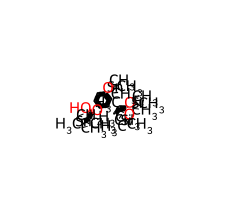 CCC(C)=C(O[Si](C)(C)C)O[Si](C)(C)C.C[CH](C(=O)O)[Sn]([CH3])([CH3])[CH3].[CH3][Sn]([CH3])([CH3])[O]C1=CCCCC1